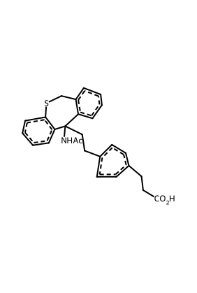 CC(=O)NC1(CCc2ccc(CCC(=O)O)cc2)c2ccccc2CSc2ccccc21